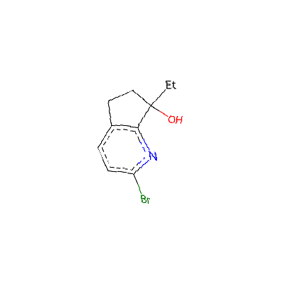 CCC1(O)CCc2ccc(Br)nc21